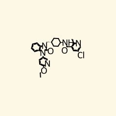 CCOc1ccc(-n2c(=O)n(C[C@H]3CC[C@H](NC(=O)c4cc(Cl)cnc4C)CC3)c3ccccc32)cn1